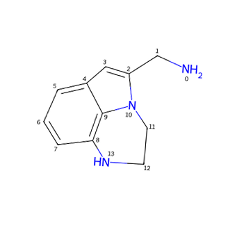 NCc1cc2cccc3c2n1CCN3